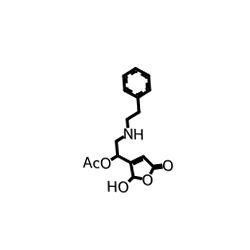 CC(=O)OC(CNCCc1ccccc1)C1=CC(=O)OC1O